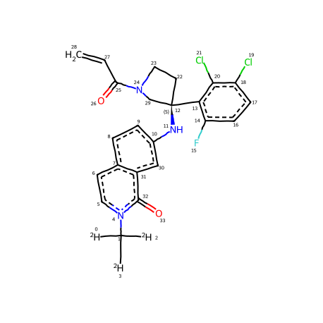 [2H]C([2H])([2H])n1ccc2ccc(N[C@]3(c4c(F)ccc(Cl)c4Cl)CCN(C(=O)C=C)C3)cc2c1=O